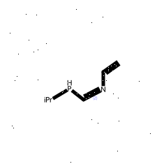 C=C/N=C\PC(C)C